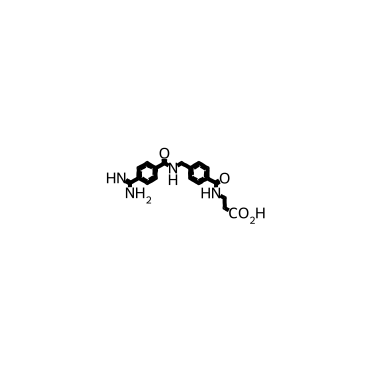 N=C(N)c1ccc(C(=O)NCc2ccc(C(=O)NCCC(=O)O)cc2)cc1